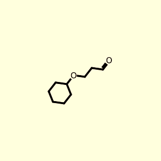 O=CCCOC1CCCCC1